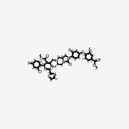 COC(=O)C1=C(CN2CCN3C(=O)N(c4ccc(Oc5ccc(C(=O)OC)cc5F)cc4F)CC3C2)NC(c2nccs2)=NC1c1ccc(F)cc1Cl